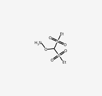 CCS(=O)(=O)C(O[SiH3])S(=O)(=O)CC